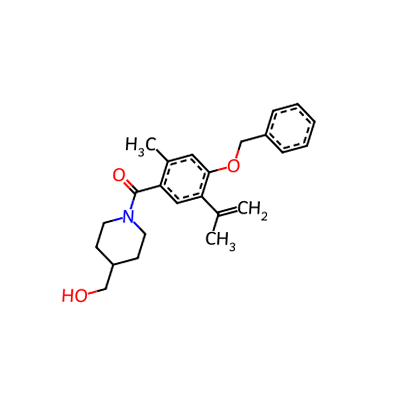 C=C(C)c1cc(C(=O)N2CCC(CO)CC2)c(C)cc1OCc1ccccc1